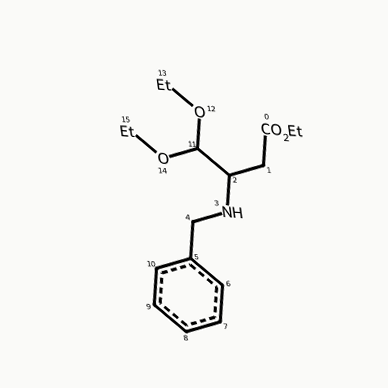 CCOC(=O)CC(NCc1ccccc1)C(OCC)OCC